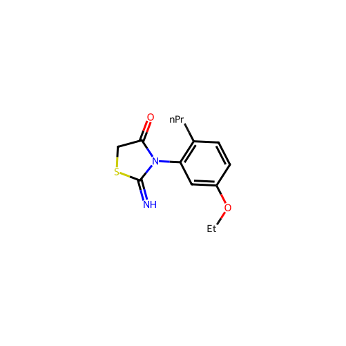 CCCc1ccc(OCC)cc1N1C(=N)SCC1=O